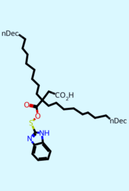 CCCCCCCCCCCCCCCCCCC(CCCCCCCCCCCCCCCCCC)(CC(=O)O)C(=O)OSc1nc2ccccc2[nH]1